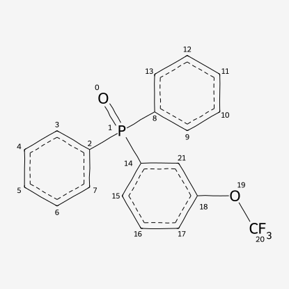 O=P(c1ccccc1)(c1ccccc1)c1cccc(OC(F)(F)F)c1